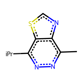 Cc1nnc(C(C)C)c2scnc12